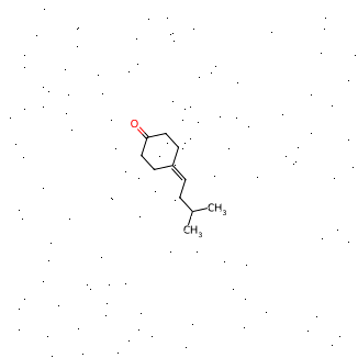 CC(C)CC=C1CCC(=O)CC1